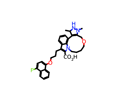 CC1NN(C)C2=C1c1cccc3c(CCCOc4ccc(F)c5ccccc45)c(C(=O)O)n(c13)CCCCOC2